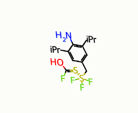 CC(C)c1cc(CS(F)(F)(F)=S=C(O)F)cc(C(C)C)c1N